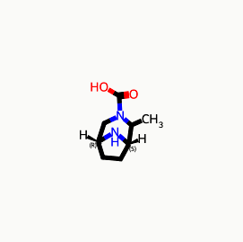 CC1[C@@H]2CC[C@H](CN1C(=O)O)N2